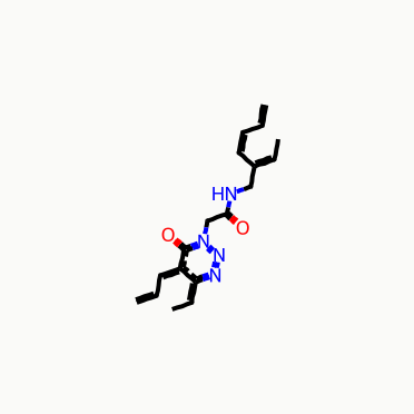 C=C/C=C\C(=C/C)CNC(=O)Cn1nnc(=C/C)/c(=C\C=C)c1=O